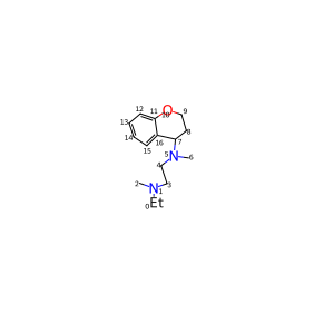 CCN(C)CCN(C)C1CCOc2ccccc21